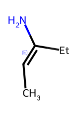 C/C=C(/N)CC